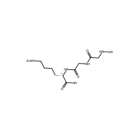 CC(=O)NCCCC[C@H](NC(=O)CNC(=O)CNC(C)C)C(=O)C(C)C